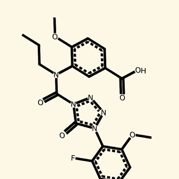 CCCN(C(=O)n1nnn(-c2c(F)cccc2OC)c1=O)c1cc(C(=O)O)ccc1OC